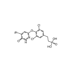 CC(C)c1cc(Oc2c(Cl)cc(CCP(=O)(O)O)cc2Cl)n[nH]c1=O